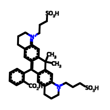 CC1(C)c2cc3c(cc2C(c2ccccc2C(=O)O)=c2cc4c(cc21)=[N+](CCCS(=O)(=O)O)CCC4)CCCN3CCCS(=O)(=O)O